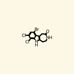 O=C1Cc2c([nH]c3c(Cl)c(Cl)cc(Br)c23)CCN1